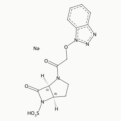 O=C(COn1nnc2ccccc21)N1CC[C@@H]2[C@H]1C(=O)N2S(=O)(=O)O.[Na]